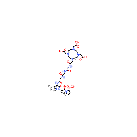 CC(C)[C@H](NC(=O)CNC(=O)CNC(=O)CNC(=O)CN1CCN(CC(=O)O)CCN(CC(=O)O)CCN(CC(=O)O)CC1)C(=O)N[C@H](C)C(=O)N1CCC[C@H]1B(O)O